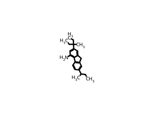 CCC(C)c1ccc2c(c1)Cc1cc(C(C)(CC)CC)cc(N)c1-2